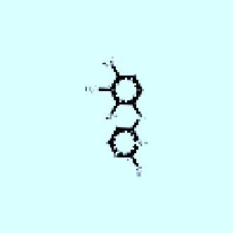 Cc1c(N)ccc(Sc2ccnc(Cl)n2)c1Cl